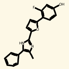 Cc1nc(-c2ccc(-c3ccc(O)cc3F)o2)[nH]c1-c1ccccc1